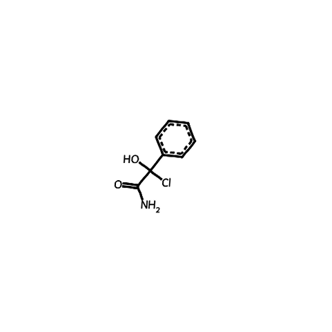 NC(=O)C(O)(Cl)c1ccccc1